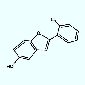 Oc1ccc2oc(-c3ccccc3Cl)cc2c1